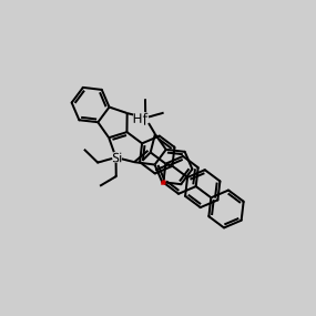 CC[Si]1(CC)C2=C(c3ccc(-c4ccccc4)cc3)[CH](c3ccccc32)[Hf]([CH3])([CH3])[CH]2C(c3ccc(-c4ccccc4)cc3)=C1c1ccccc12